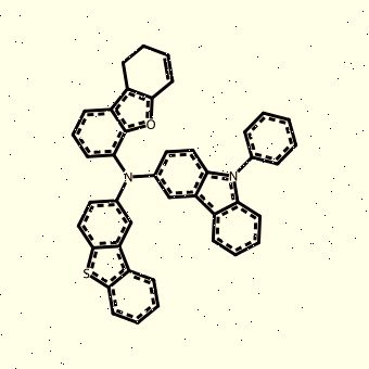 C1=Cc2oc3c(N(c4ccc5sc6ccccc6c5c4)c4ccc5c(c4)c4ccccc4n5-c4ccccc4)cccc3c2CC1